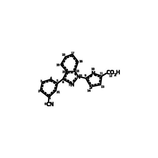 N#Cc1cccc(-c2nn(-c3nc(C(=O)O)cs3)c3ccccc23)c1